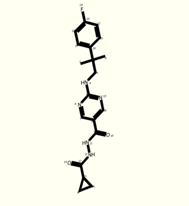 CC(C)(CNc1ncc(C(=O)NNC(=O)C2CC2)cn1)c1ccc(F)cc1